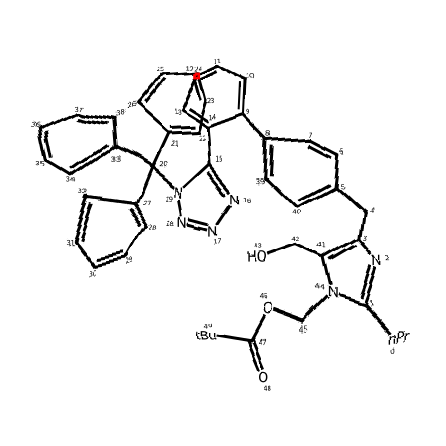 CCCc1nc(Cc2ccc(-c3ccccc3-c3nnnn3C(c3ccccc3)(c3ccccc3)c3ccccc3)cc2)c(CO)n1COC(=O)C(C)(C)C